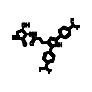 O=C(CCc1cc(-c2ccc(C(F)F)cc2)[nH]c1-c1ccc(C(F)F)cc1)N[C@@H]1C(=O)NC[C@H]1O